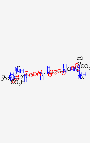 Cc1ccnc(NCCCC(=O)N[C@@H](COCc2ccc(CNC(=O)CCOCCOCCOC(=O)NCCCCNC(=O)OCCOCCOCCC(=O)NCc3ccc(COC[C@H](NC(=O)CCCNc4cc(C)ccn4)C(=O)NC(CC(=O)O)c4ccc(-c5cccc6ccccc56)cc4)cc3)cc2)C(=O)NC(CC(=O)O)c2ccc(-c3cccc4ccccc34)cc2)c1